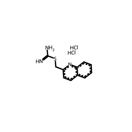 Cl.Cl.N=C(N)SCc1ccc2ccccc2n1